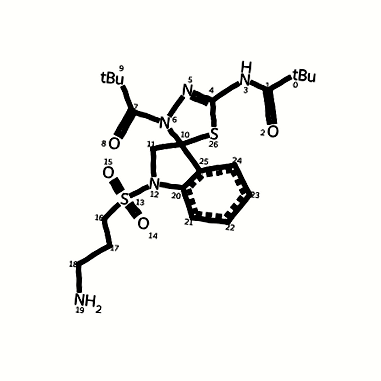 CC(C)(C)C(=O)NC1=NN(C(=O)C(C)(C)C)C2(CN(S(=O)(=O)CCCN)c3ccccc32)S1